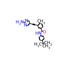 Cc1ccc(C(=O)Nc2ccc(C(C)(C)C)cc2)cc1C#Cc1cnc(N)nc1